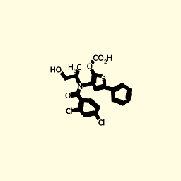 CC(CO)N(C(=O)c1ccc(Cl)cc1Cl)c1cc(-c2ccccc2)sc1OC(=O)O